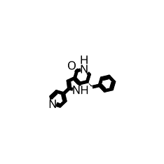 O=C1NC[C@H](Cc2ccccc2)c2[nH]c(-c3ccncc3)cc21